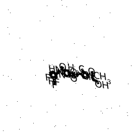 CC(=O)N(CCO)c1ccc(CCS(=O)(=O)N2CCC3(CC2)N=C(c2ccc(F)c(C(F)(F)F)c2)NC3=O)c(C)c1